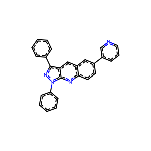 c1ccc(-c2nn(-c3ccccc3)c3nc4ccc(-c5cccnc5)cc4cc23)cc1